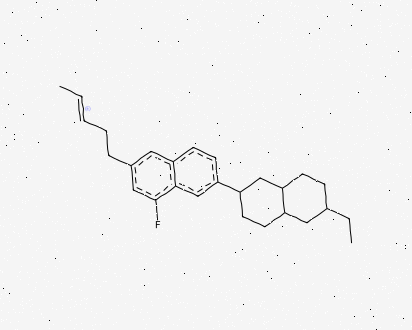 C/C=C/CCc1cc(F)c2cc(C3CCC4CC(CC)CCC4C3)ccc2c1